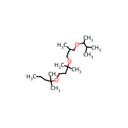 CCCC(C)(C)OCCC(C)(C)OCC(C)COC(C)C(C)C